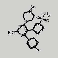 CC(=O)N1CCN(c2nc(C(F)(F)F)nc(-c3ccc(F)cc3)c2-c2cccc(S(N)(=O)=O)c2)CC1